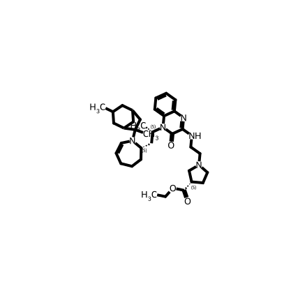 CCOC(=O)[C@H]1CCN(CCNc2nc3ccccc3n([C@@H](C)C[C@@H]3CCCC=CN3C3(C)CC4CC(C)CC3C4)c2=O)C1